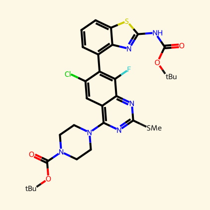 CSc1nc(N2CCN(C(=O)OC(C)(C)C)CC2)c2cc(Cl)c(-c3cccc4sc(NC(=O)OC(C)(C)C)nc34)c(F)c2n1